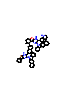 CC1C=Cc2oc3c(c2C1c1ccc2ccc(C4Nc5sc6ccccc6c5N=C4n4c5ccccc5c5cc6ccccc6cc54)cc2c1)N=C(n1c2ccccc2c2cc4ccccc4cc21)C(c1ccc2c(c1)NCC=C2)N3